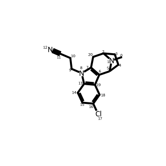 CN1C2CCC1c1c(n(CCC#N)c3ccc(Cl)cc13)C2